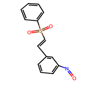 O=Nc1cccc(C=CS(=O)(=O)c2ccccc2)c1